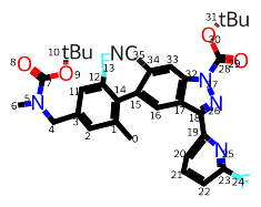 Cc1cc(CN(C)C(=O)OC(C)(C)C)cc(F)c1-c1cc2c(-c3cccc(F)n3)nn(C(=O)OC(C)(C)C)c2cc1C#N